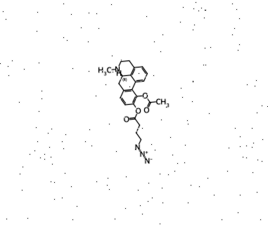 CC(=O)Oc1c(OC(=O)CCCN=[N+]=[N-])ccc2c1-c1cccc3c1[C@@H](C2)N(C)CC3